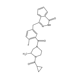 CC1CN(C(=O)c2cc(Cc3n[nH]c(=O)c4ccccc34)ccc2F)CCN1C(=O)C1CC1